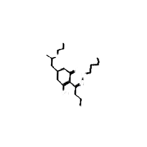 CCCCO/N=C(/CCC)C1=C(O)CC(CC(C)SCCC)CC1=O